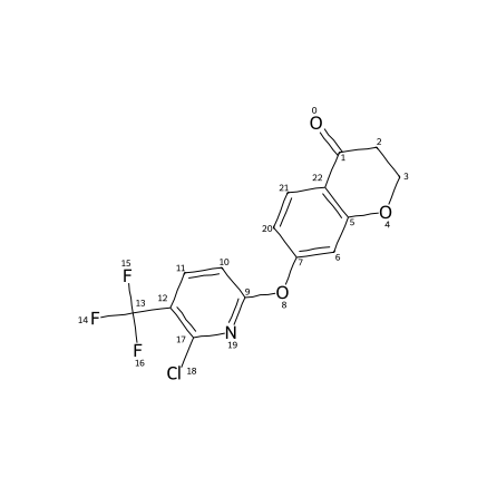 O=C1CCOc2cc(Oc3ccc(C(F)(F)F)c(Cl)n3)ccc21